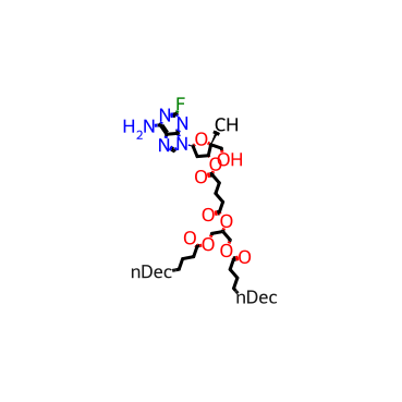 C#C[C@]1(CO)O[C@@H](n2cnc3c(N)nc(F)nc32)C[C@@H]1OC(=O)CCCC(=O)OC(COC(=O)CCCCCCCCCCCCC)COC(=O)CCCCCCCCCCCCC